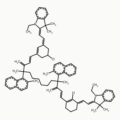 C=C(C=CC1=CC(=CC=C2N(CC)c3ccccc3C2(C)C)CC(Cl)C1)C(C)(CCCCCCC(C)(C(=C)C=CC1=C(Cl)C(=CC=C2N(CC)c3ccccc3C2(C)C)CCC1)c1c(C)ccc2ccccc12)c1c(C)ccc2ccccc12